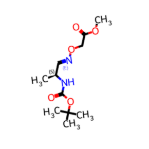 COC(=O)CO/N=C/[C@H](C)NC(=O)OC(C)(C)C